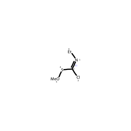 CC/N=C(/Cl)SOC